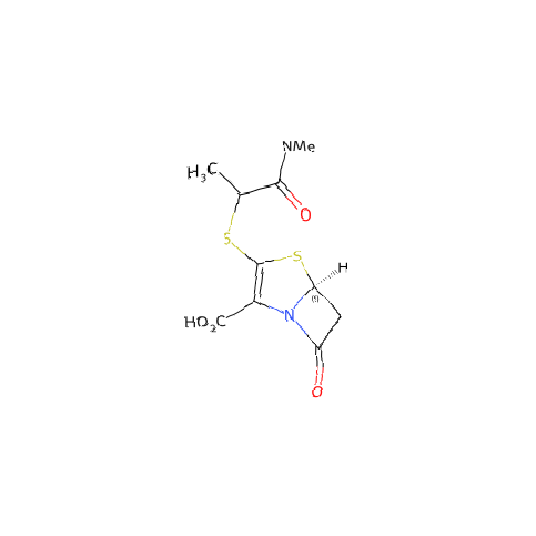 CNC(=O)C(C)SC1=C(C(=O)O)N2C(=O)C[C@@H]2S1